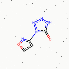 O=c1[nH]nnn1-c1ccon1